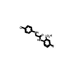 O=C(CNc1ccc(Cl)cc1)Nc1ccc(F)cc1C(=O)O